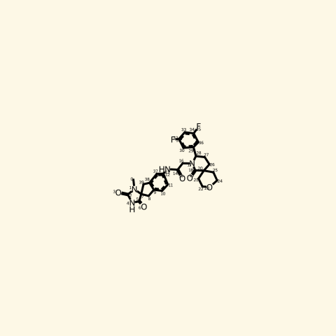 CN1C(=O)NC(=O)C12Cc1ccc(NC(=O)CN3C(=O)C4(CCOCC4)CCC3c3cc(F)cc(F)c3)cc1C2